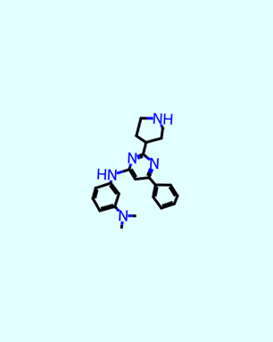 CN(C)c1cccc(Nc2cc(-c3ccccc3)nc(C3CCNCC3)n2)c1